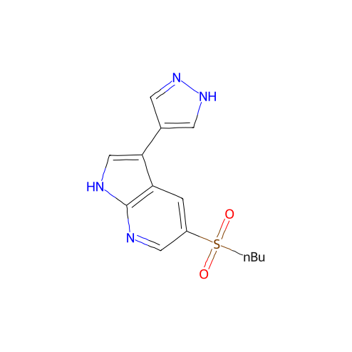 CCCCS(=O)(=O)c1cnc2[nH]cc(-c3cn[nH]c3)c2c1